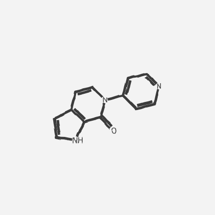 O=c1c2[nH]ccc2ccn1-c1ccncc1